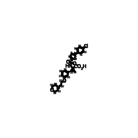 O=C(O)C1(NS(=O)(=O)c2ccc(-c3ccc(Cl)cc3)s2)C[C@H]1c1cccc(OCCN2CCOCC2)c1